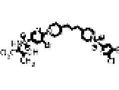 CC(O)C(NS(=O)(=O)c1cnc(N2CCC(CCCC3CCN(S(=O)(=O)c4cc(Br)c(Cl)s4)CC3)CC2)c(Br)c1)C(=O)O